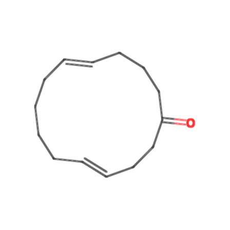 O=C1CC/C=C/CCCC/C=C/CCC1